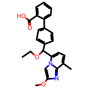 CCOC(c1ccc(-c2ccccc2C(=O)O)cc1)c1ccc(C)c2nc(OC)cn12